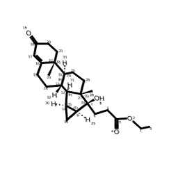 CCOC(=O)CC[C@]1(O)[C@H]2C[C@H]2[C@H]2[C@@H]3CCC4=CC(=O)CC[C@]4(C)[C@H]3CC[C@@]21C